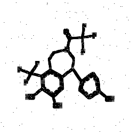 O=C(N1CCc2c(cc(O)c(O)c2C(F)(F)F)C(c2ccc(O)cc2)C1)C(F)(F)F